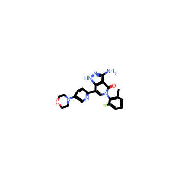 Cc1cccc(F)c1-n1cc(-c2ccc(N3CCOCC3)cn2)c2[nH]nc(N)c2c1=O